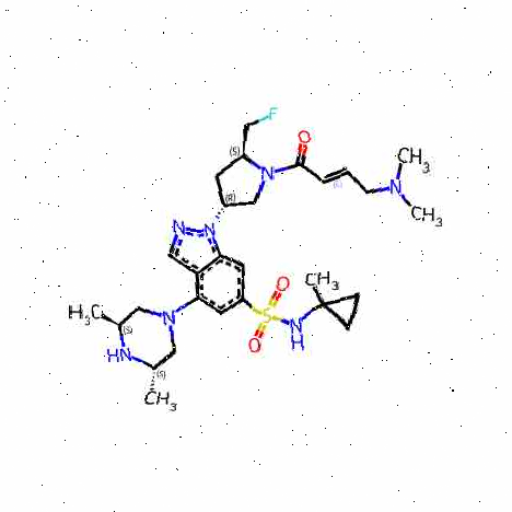 C[C@H]1CN(c2cc(S(=O)(=O)NC3(C)CC3)cc3c2cnn3[C@@H]2C[C@@H](CF)N(C(=O)/C=C/CN(C)C)C2)C[C@H](C)N1